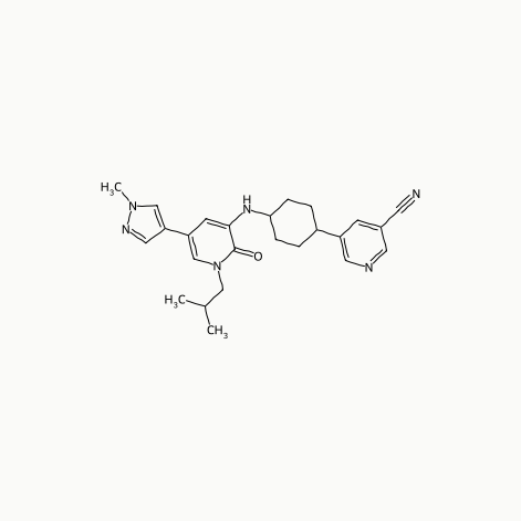 CC(C)Cn1cc(-c2cnn(C)c2)cc(NC2CCC(c3cncc(C#N)c3)CC2)c1=O